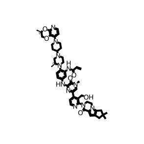 C=CC(=O)Nc1cc(Nc2nc(-c3ccnc(N4CCn5c(cc6c5CC(C)(C)C6)C4=O)c3CO)cn(C)c2=O)ccc1N1CCN(C2CCN(c3ccnc4c3OC[C@@H](C)O4)CC2)C[C@@H]1C